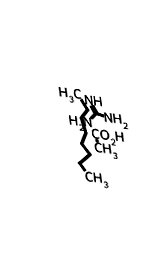 CC(=O)O.CCCCCCCC.N=C(N)N